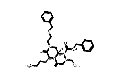 CCCC[C@H]1C(=O)N(CCSCc2ccccc2)C[C@H]2N1C(=O)CN(CC)N2C(=O)NCc1ccccc1